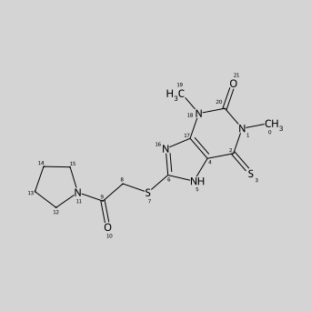 Cn1c(=S)c2[nH]c(SCC(=O)N3CCCC3)nc2n(C)c1=O